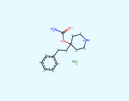 Cl.NC(=O)OC1(CCc2ccccc2)CCNCC1